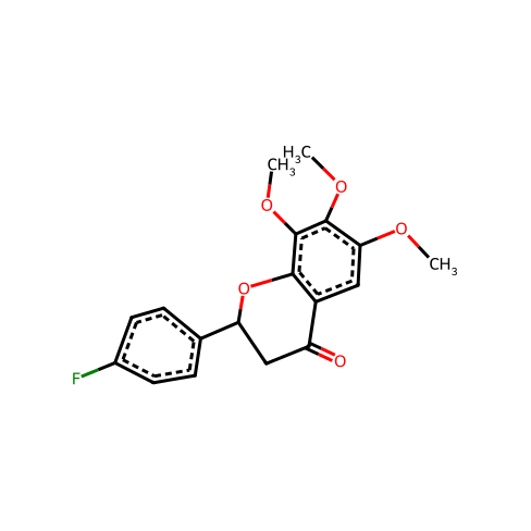 COc1cc2c(c(OC)c1OC)OC(c1ccc(F)cc1)CC2=O